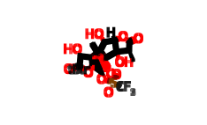 C[C@@H]1C(=O)O[C@H]2[C@H](O)C34C5OC(=O)[C@@]3(OC3OC(=O)[C@H](O)C34[C@H](C(C)(C)C)[C@H]5OS(=O)(=O)C(F)(F)F)[C@@]12O